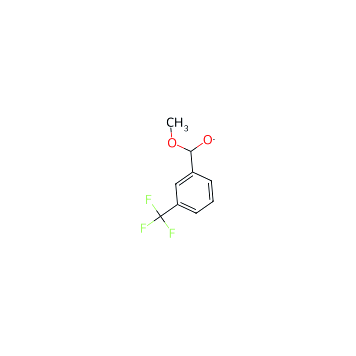 COC([O])c1cccc(C(F)(F)F)c1